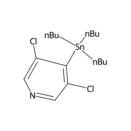 CCC[CH2][Sn]([CH2]CCC)([CH2]CCC)[c]1c(Cl)cncc1Cl